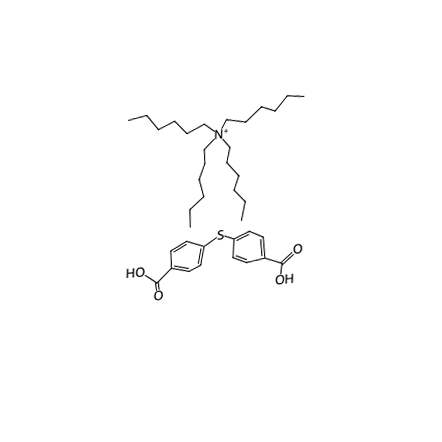 CCCCCC[N+](CCCCCC)(CCCCCC)CCCCCC.O=C(O)c1ccc(Sc2ccc(C(=O)O)cc2)cc1